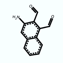 Nc1cc2ccccc2c(C=O)c1C=O